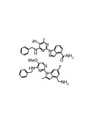 COc1cnc(-n2c(C)cc3c(CN)cc(F)cc32)nc1NCc1ccccc1.Cc1nc(-n2ncc3c(C(N)=O)cccc32)nc(NCc2ccccc2)c1C(C)C